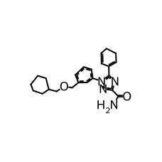 NC(=O)c1nc(C2=CCCC=C2)n(-c2cccc(COCC3CCCCC3)c2)n1